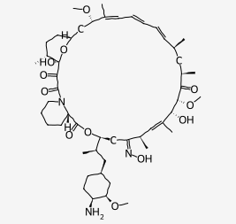 CO[C@H]1C[C@@H]2CC[C@@H](C)[C@@](O)(O2)C(=O)C(=O)N2CCCC[C@H]2C(=O)O[C@H]([C@H](C)C[C@@H]2CC[C@H](N)[C@H](OC)C2)C/C(=N/O)[C@H](C)/C=C(\C)[C@@H](O)[C@@H](OC)C(=O)[C@H](C)C[C@H](C)/C=C/C=C/C=C/1C